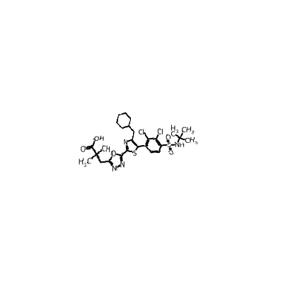 CC(C)(C)NS(=O)(=O)c1ccc(-c2sc(-c3nnc(CC(C)(C)C(=O)O)o3)nc2CC2CCCCC2)c(Cl)c1Cl